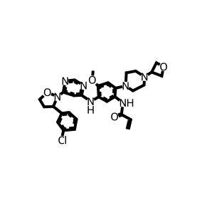 C=CC(=O)Nc1cc(Nc2cc(N3OCCC3c3cccc(Cl)c3)ncn2)c(OC)cc1N1CCN(C2COC2)CC1